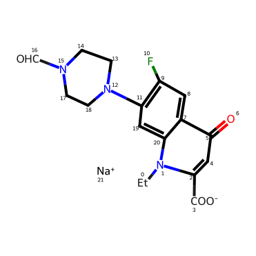 CCn1c(C(=O)[O-])cc(=O)c2cc(F)c(N3CCN(C=O)CC3)cc21.[Na+]